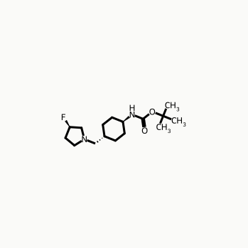 CC(C)(C)OC(=O)N[C@H]1CC[C@H](CN2CC[C@@H](F)C2)CC1